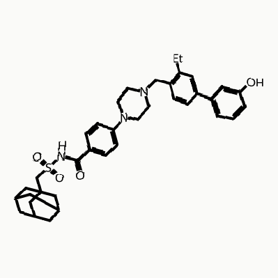 CCc1cc(-c2cccc(O)c2)ccc1CN1CCN(c2ccc(C(=O)NS(=O)(=O)CC34CC5CC(CC(C5)C3)C4)cc2)CC1